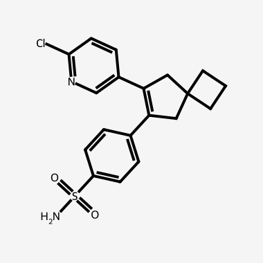 NS(=O)(=O)c1ccc(C2=C(c3ccc(Cl)nc3)CC3(CCC3)C2)cc1